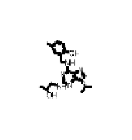 Cc1ccc(O)c(CNc2nc(NCC(C)O)nc3c2ncn3C(C)C)c1